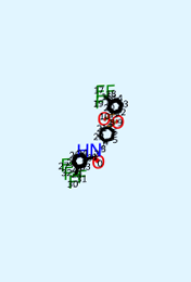 O=C(NC[C@H]1CC[C@@H](S(=O)(=O)c2cccc(C(F)(F)F)c2)CC1)c1ccc(F)c(C(F)(F)F)c1